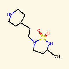 CC1CCN(CCC2CCNCC2)S(=O)(=O)N1